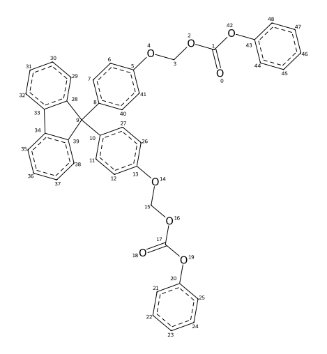 O=C(OCOc1ccc(C2(c3ccc(OCOC(=O)Oc4ccccc4)cc3)c3ccccc3-c3ccccc32)cc1)Oc1ccccc1